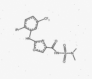 CC(C)c1ccc(C(F)(F)F)cc1Nc1nc(C(=O)NS(=O)(=O)N(C)C)co1